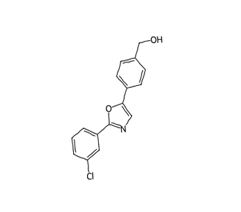 OCc1ccc(-c2cnc(-c3cccc(Cl)c3)o2)cc1